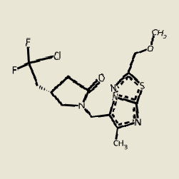 COCc1nn2c(CN3C[C@H](CC(F)(F)Cl)CC3=O)c(C)nc2s1